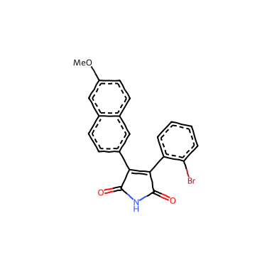 COc1ccc2cc(C3=C(c4ccccc4Br)C(=O)NC3=O)ccc2c1